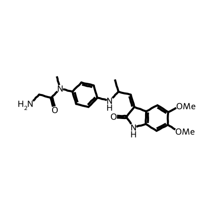 COc1cc2c(cc1OC)C(=CC(C)Nc1ccc(N(C)C(=O)CN)cc1)C(=O)N2